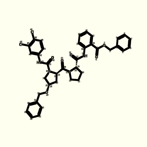 O=C(OCc1ccccc1)c1ccccc1NC(=O)[C@@H]1CCCN1C(=O)[C@H]1C[C@@H](OCc2ccccc2)CN1C(=O)Nc1ccc(Cl)c(Cl)c1